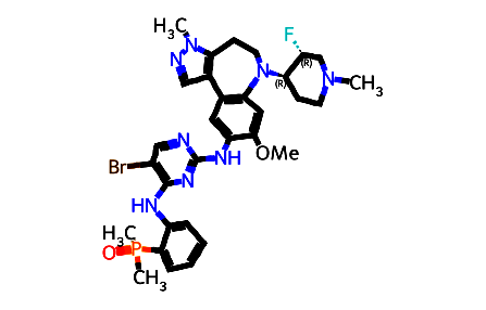 COc1cc2c(cc1Nc1ncc(Br)c(Nc3ccccc3P(C)(C)=O)n1)-c1cnn(C)c1CCN2[C@@H]1CCN(C)C[C@H]1F